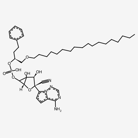 CCCCCCCCCCCCCCCCCCOC[C@H](CCc1ccccc1)OP(=O)(O)OC1[C@H]2O[C@@](C#N)(c3ccc4c(N)ncnn34)[C@H](O)[C@@]12O